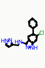 Clc1cc2[nH]nc(NCc3cc[nH]n3)c2cc1-c1ccccc1